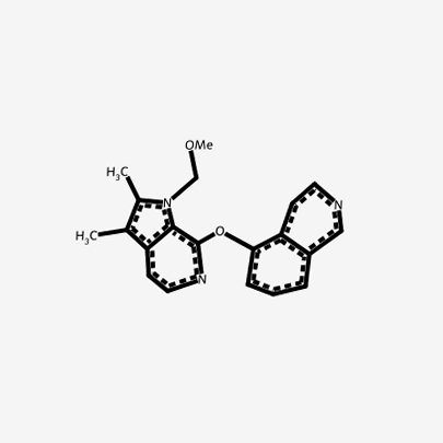 COCn1c(C)c(C)c2ccnc(Oc3cccc4cnccc34)c21